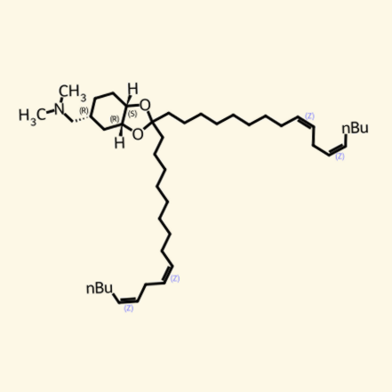 CCCC/C=C\C/C=C\CCCCCCCCC1(CCCCCCCC/C=C\C/C=C\CCCC)O[C@H]2CC[C@@H](CN(C)C)C[C@H]2O1